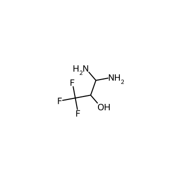 NC(N)C(O)C(F)(F)F